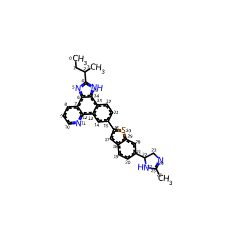 CCC(C)c1nc2c3cccnc3c3cc(-c4cc5ccc(C6CN=C(C)N6)cc5s4)ccc3c2[nH]1